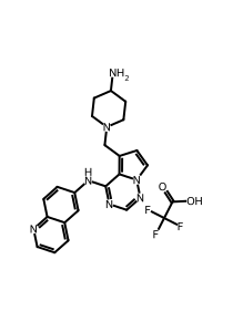 NC1CCN(Cc2ccn3ncnc(Nc4ccc5ncccc5c4)c23)CC1.O=C(O)C(F)(F)F